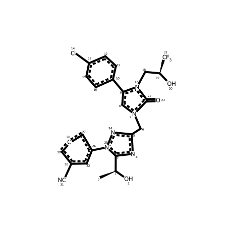 C[C@H](O)c1nc(Cn2cc(-c3ccc(Cl)cc3)n(C[C@H](O)C(F)(F)F)c2=O)nn1-c1cccc(C#N)c1